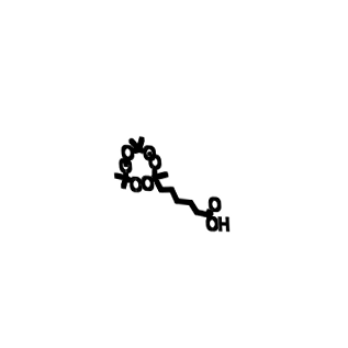 CC1(C)OOC(C)(C)OOC(C)(CCCCCC(=O)O)OO1